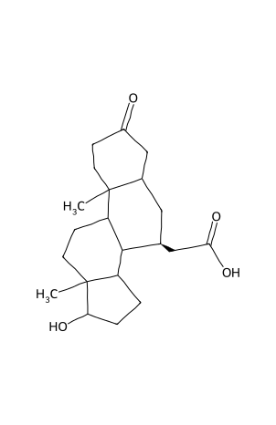 CC12CCC3C(C1CCC2O)[C@H](CC(=O)O)CC1CC(=O)CCC13C